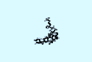 CN(C)C/C=C/C(=O)N1CCCC(n2nc(-c3ccc(Oc4ccccc4)cc3)c3c(N)n[nH]c(=O)c32)C1